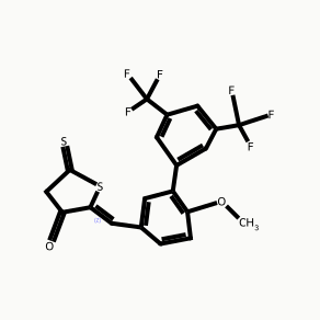 COc1ccc(/C=C2\SC(=S)CC2=O)cc1-c1cc(C(F)(F)F)cc(C(F)(F)F)c1